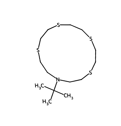 CC(C)(C)N1CCSCCSCCSCCSCC1